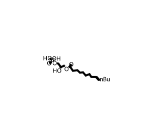 CCCC/C=C/CCCCCCCC(=O)OCC(O)COP(=O)(O)O